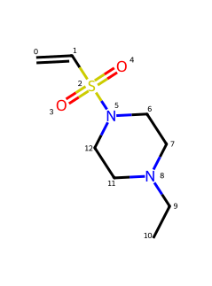 C=CS(=O)(=O)N1CCN(CC)CC1